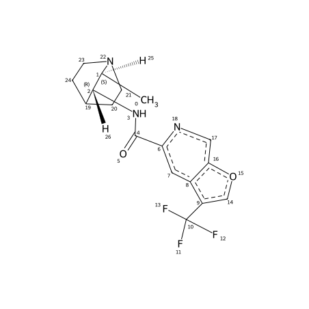 C[C@H]1[C@H](NC(=O)c2cc3c(C(F)(F)F)coc3cn2)C2CCN1CC2